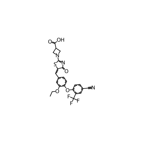 CCOc1cc(C=C2SC(N3CC(C(=O)O)C3)=NC2=O)ccc1Oc1ccc(C#N)cc1C(F)(F)F